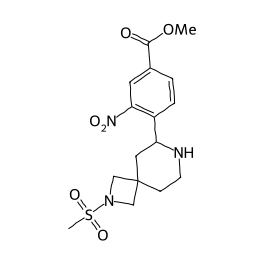 COC(=O)c1ccc(C2CC3(CCN2)CN(S(C)(=O)=O)C3)c([N+](=O)[O-])c1